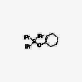 CC(C)[Si](OC1=CCCCC1)(C(C)C)C(C)C